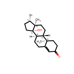 CC(=O)[C@H]1CC[C@]2(O)[C@@H]3CCC4=CC(=O)CC[C@]4(C)[C@H]3CC[C@]12C